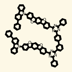 c1ccc(-c2ccc3c(c2)c2ccccc2n3-c2ccc3c(c2)oc2cc4oc5cc(-c6nc(-c7ccccc7)nc(-c7cccc(-c8ccc(-c9nc(-c%10ccccc%10)nc(-c%10ccc%11c(c%10)oc%10cc%12c(cc%10%11)oc%10cc(-n%11c%13ccccc%13c%13ccc(-c%14ccccc%14)cc%13%11)ccc%10%12)n9)cc8)c7)n6)ccc5c4cc23)cc1